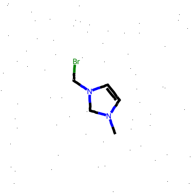 CN1C=CN(CBr)C1